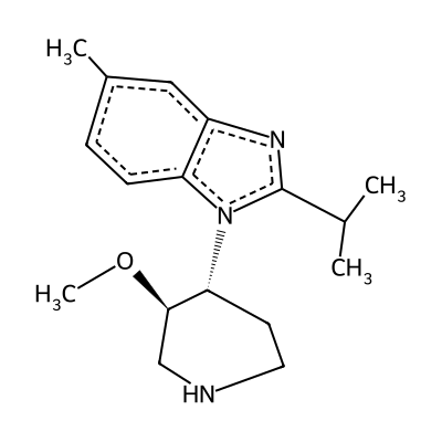 CO[C@@H]1CNCC[C@H]1n1c(C(C)C)nc2cc(C)ccc21